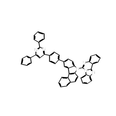 c1ccc(-c2cc(-c3ccc(-c4ccc5c(c4)c4c6ccccc6ccc4n5-c4nc5ccccc5c5nc6ccccc6n45)cc3)nc(-c3ccccc3)n2)cc1